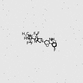 CN1N=C(c2nc3c(n2C(F)F)CN([C@H]2CO[C@H](c4cc(F)ccc4F)[C@@H](N)C2)C3)N(C(F)F)N1